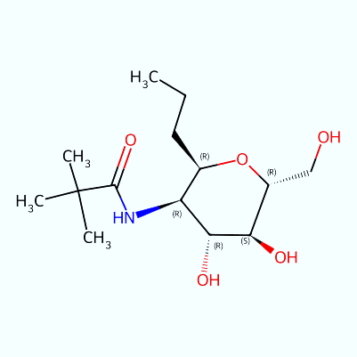 CCC[C@H]1O[C@H](CO)[C@@H](O)[C@H](O)[C@H]1NC(=O)C(C)(C)C